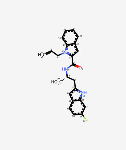 C=CCn1c(C(=O)N[C@H](Cc2cc3ccc(F)cc3[nH]2)C(=O)O)cc2ccccc21